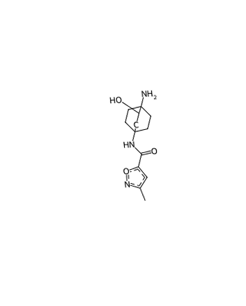 Cc1cc(C(=O)NC23CCC(N)(CC2)C(O)C3)on1